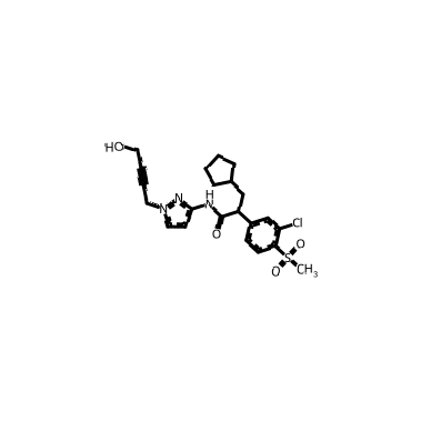 CS(=O)(=O)c1ccc(C(CC2CCCC2)C(=O)Nc2ccn(CC#CCO)n2)cc1Cl